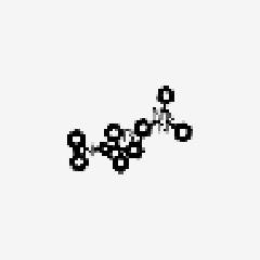 c1ccc(-c2nc(-c3ccccc3)nc(-c3ccc4c(c3)-c3cccc5c3B4c3ccccc3C53c4ccccc4-c4cc(-n5c6ccccc6c6ccccc65)ccc43)n2)cc1